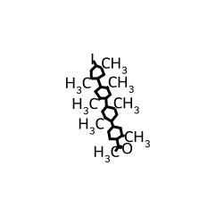 CC(=O)C1CCC(C2CC(C)C(C3CC(C)C(C4CC(C)C(I)CC4C)CC3C)CC2C)CC1C